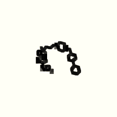 CC1(CCCN2CCN(Cc3ccc(-c4ccccc4)cc3)CC2)Cn2cc([N+](=O)[O-])nc2O1